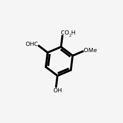 COc1cc(O)cc(C=O)c1C(=O)O